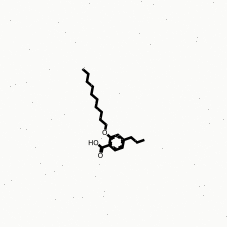 CCCCCCCCCCOc1cc(CCC)ccc1C(=O)O